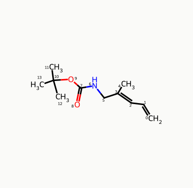 C=C/C=C(\C)CNC(=O)OC(C)(C)C